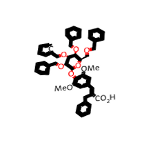 COc1cc(C=C(Cc2ccccc2)C(=O)O)cc(OC)c1O[C@@H]1O[C@H](COCc2ccccc2)[C@H](OCc2ccccc2)[C@H](OCc2ccccc2)[C@H]1OCc1ccccc1